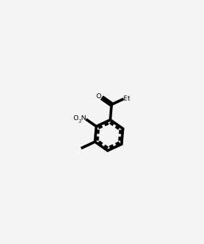 CCC(=O)c1cccc(C)c1[N+](=O)[O-]